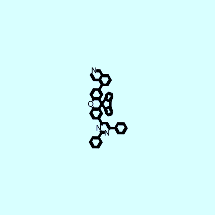 c1ccc(-c2cc(-c3ccc4c(c3)C3(c5cc(-c6cccc7cnccc67)ccc5O4)c4ccccc4-c4ccccc43)nc(-c3ccccc3)n2)cc1